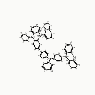 c1ccc(N(c2ccc(-c3ccc4c(c3)N(c3cccc5ccccc35)c3ccccc3N4c3ccccc3)cc2)c2ccc(N3c4ccccc4Oc4ccccc43)cc2)cc1